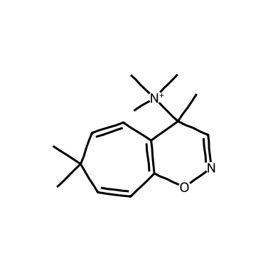 CC1(C)C=CC2=C(C=C1)C(C)([N+](C)(C)C)C=NO2